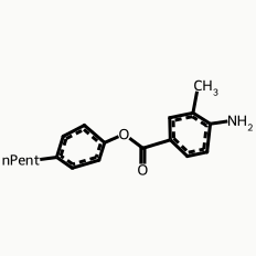 CCCCCc1ccc(OC(=O)c2ccc(N)c(C)c2)cc1